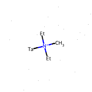 CC[N+](C)([Ta])CC